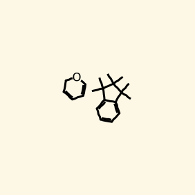 C1=CCOC=C1.CC1(C)c2ccccc2C(C)(C)C1(C)C